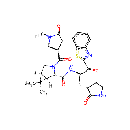 CN1C[C@H](C(=O)N2C[C@H]3[C@@H]([C@H]2C(=O)NC(C[C@@H]2CCNC2=O)C(=O)c2nc4ccccc4s2)C3(C)C)CC1=O